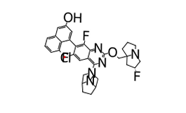 CN1C2CCC1CN(c1nc(OCC34CCCN3C[C@H](F)C4)nc3c(F)c(-c4cc(O)cc5cccc(Cl)c45)c(F)cc13)C2